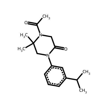 CC(=O)N1CC(=O)N(c2cccc(C(C)C)c2)CC1(C)C